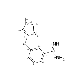 N=C(N)c1cccc(Cc2c[nH]cn2)c1